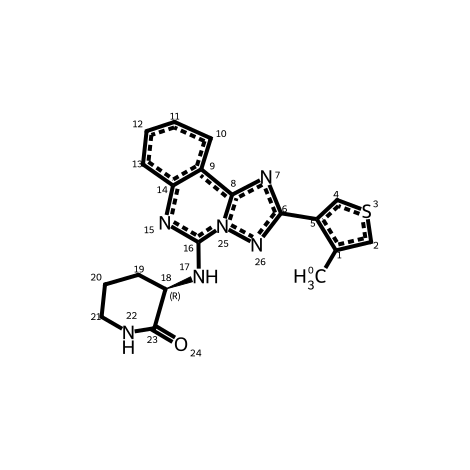 Cc1cscc1-c1nc2c3ccccc3nc(N[C@@H]3CCCNC3=O)n2n1